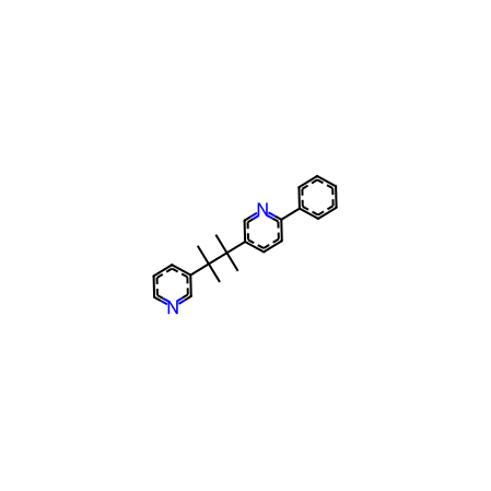 CC(C)(c1cccnc1)C(C)(C)c1ccc(-c2ccccc2)nc1